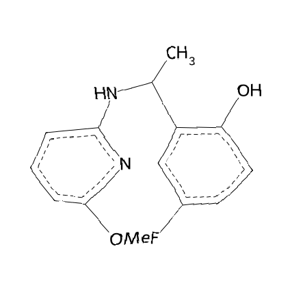 COc1cccc(NC(C)c2cc(F)ccc2O)n1